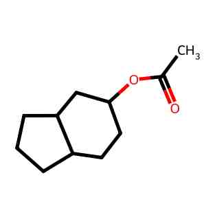 CC(=O)OC1CCC2CCCC2C1